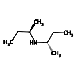 CC[C@@H](C)N[C@@H](C)CC